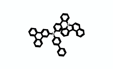 c1ccc(-c2ccc(N(c3ccc(-c4ccccc4-n4c5ccccc5c5c6ccccc6ccc54)cc3)c3ccc4c5ccccc5c5ccccc5c4c3)cc2)cc1